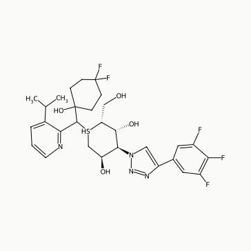 CC(C)c1cccnc1C([SH]1C[C@H](O)[C@H](n2cc(-c3cc(F)c(F)c(F)c3)nn2)[C@@H](O)[C@H]1CO)C1(O)CCC(F)(F)CC1